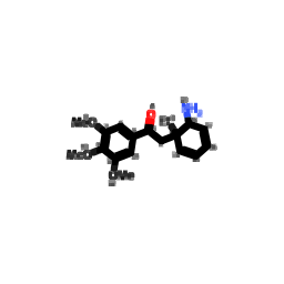 CCC1(CC(=O)c2cc(OC)c(OC)c(OC)c2)C=CC=CC1N